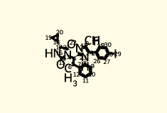 Cc1nc([C@H]([C@H](C)c2ccccc2)N2C(=O)N[C@H](C3CC3)C2=O)[nH]c1-c1ccc(I)cc1F